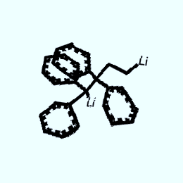 [Li][CH2]CC(c1ccccc1)(c1ccccc1)[C]([Li])(c1ccccc1)c1ccccc1